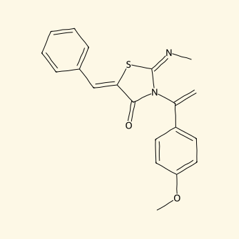 C=C(c1ccc(OC)cc1)N1C(=O)/C(=C/c2ccccc2)S/C1=N/C